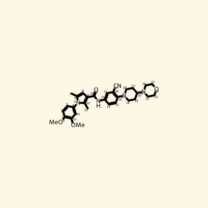 COc1ccc(-n2c(C)cc(C(=O)Nc3ccc(N4CCC(N5CCOCC5)CC4)c(C#N)c3)c2C)cc1OC